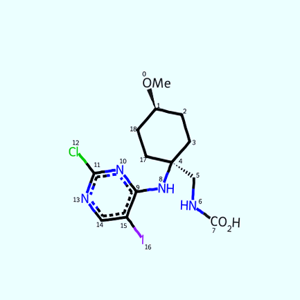 CO[C@H]1CC[C@@](CNC(=O)O)(Nc2nc(Cl)ncc2I)CC1